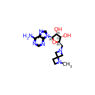 CN1CCC12CN(C[C@H]1O[C@@H](n3cnc4c(N)ncnc43)[C@H](O)[C@@H]1O)C2